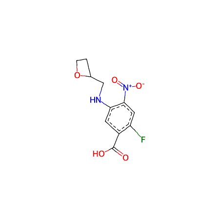 O=C(O)c1cc(NCC2CCO2)c([N+](=O)[O-])cc1F